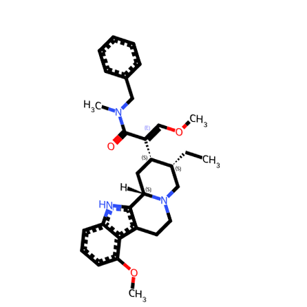 CC[C@@H]1CN2CCc3c([nH]c4cccc(OC)c34)[C@@H]2C[C@@H]1/C(=C\OC)C(=O)N(C)Cc1ccccc1